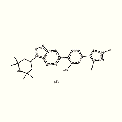 Cl.Cn1cc(-c2ccc(-c3cc4nnn(C5CC(C)(C)NC(C)(C)C5)c4nn3)c(O)c2)c(F)n1